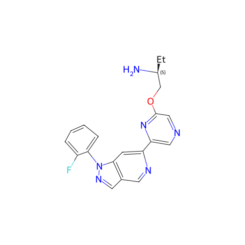 CC[C@H](N)COc1cncc(-c2cc3c(cn2)cnn3-c2ccccc2F)n1